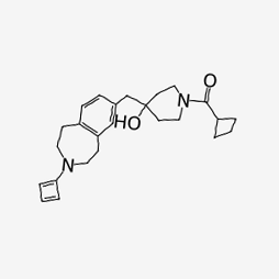 O=C(C1CCC1)N1CCC(O)(Cc2ccc3c(c2)CCN(C2=CC=C2)CC3)CC1